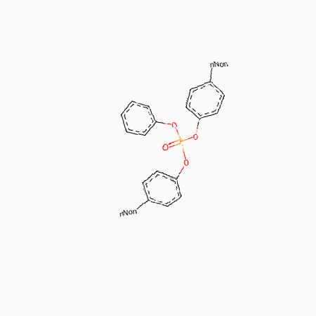 CCCCCCCCCc1ccc(OP(=O)(Oc2ccccc2)Oc2ccc(CCCCCCCCC)cc2)cc1